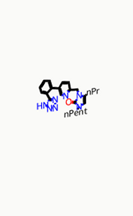 CCCCCn1cc(CCC)n(Cc2ccc(-c3ccccc3-c3nnn[nH]3)cn2)c1=O